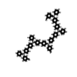 Cc1ccc(N(c2ccc(-c3ccc(N(c4ccccc4)c4ccc(-c5ccc(N(c6ccccc6)c6cccc(C)c6)cc5)cc4)cc3)cc2)c2ccc(-c3ccc(N(c4ccccc4)c4ccc(-c5ccc(N(c6ccccc6)c6cccc(C)c6)cc5)cc4)cc3)cc2)cc1